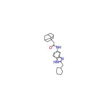 O=C(CC12CC3CC(CC(C3)C1)C2)Nc1ccc2[nH]c(CC3CCCCC3)nc2c1